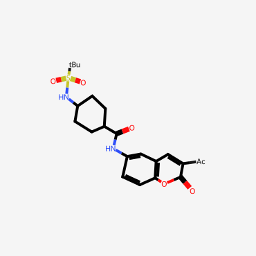 CC(=O)c1cc2cc(NC(=O)C3CCC(NS(=O)(=O)C(C)(C)C)CC3)ccc2oc1=O